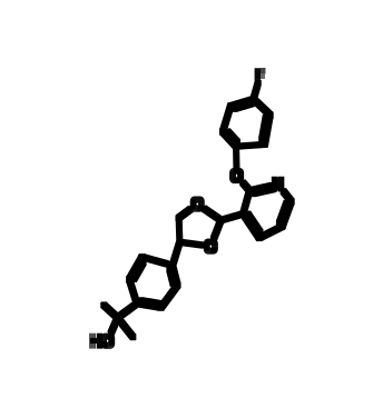 CC(C)(O)c1ccc(C2COC(c3cccnc3Oc3ccc(F)cc3)O2)cc1